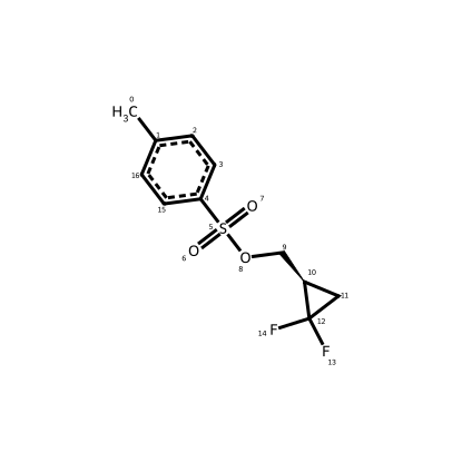 Cc1ccc(S(=O)(=O)OC[C@H]2CC2(F)F)cc1